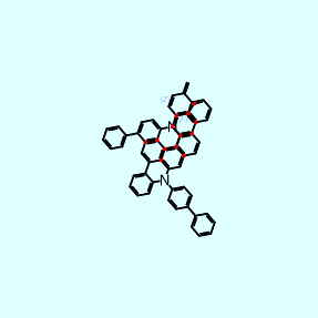 C=C(/C=C\C(=C/C)N(c1ccc(-c2ccccc2)cc1)c1ccccc1-c1cccc(-c2ccccc2N(c2ccc(-c3ccccc3)cc2)c2ccc(-c3ccccc3)cc2)c1)c1ccccc1